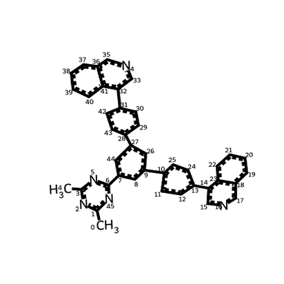 Cc1nc(C)nc(-c2cc(-c3ccc(-c4cncc5ccccc45)cc3)cc(-c3ccc(-c4cncc5ccccc45)cc3)c2)n1